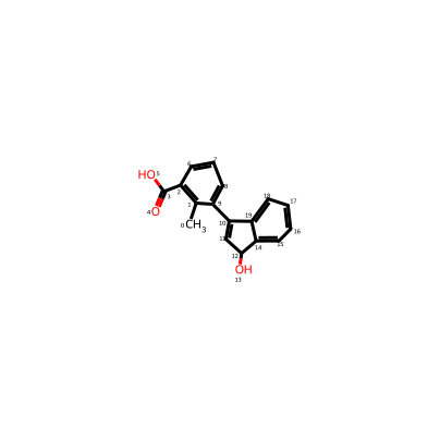 Cc1c(C(=O)O)cccc1C1=CC(O)c2ccccc21